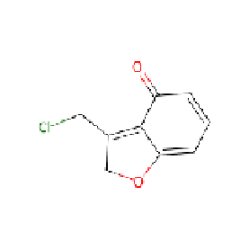 O=C1C=CC=C2OCC(CCl)=C12